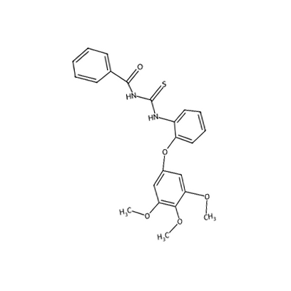 COc1cc(Oc2ccccc2NC(=S)NC(=O)c2ccccc2)cc(OC)c1OC